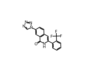 O=c1[nH]c(-c2ccccc2C(F)(F)F)cc2ccc(-n3cnnn3)cc12